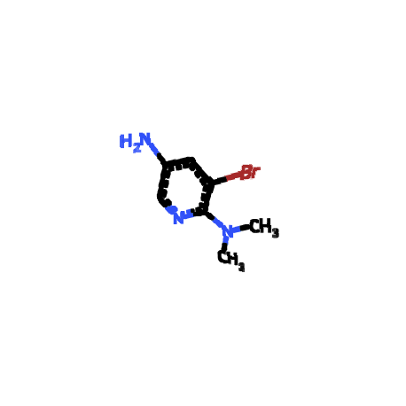 CN(C)c1ncc(N)cc1Br